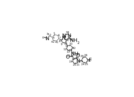 C=N[C@@H](C)[C@H]1CC[C@@H](c2cc(-c3ccc(NC(=O)c4cccn(-c5ccc(F)cc5)c4=O)cc3)c3c(N)ncnn32)CC1